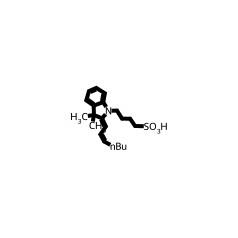 CCCC/C=C\C=C1\N(CCCCS(=O)(=O)O)c2ccccc2C1(C)C